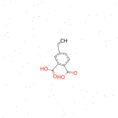 [CH]=Cc1ccc(C(=O)O)c(C(=O)O)c1